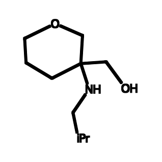 CC(C)CNC1(CO)CCCOC1